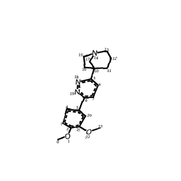 COc1ccc(-c2ccc(C34CCCN(CC3)C4)nn2)cc1OC